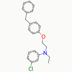 CCN(CCOc1ccc(Cc2ccccc2)cc1)c1cccc(Cl)c1